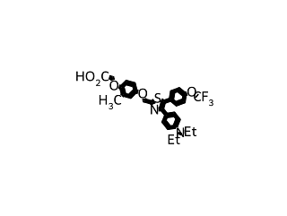 CCN(CC)c1ccc(-c2nc(COc3ccc(OCC(=O)O)c(C)c3)sc2-c2ccc(OC(F)(F)F)cc2)cc1